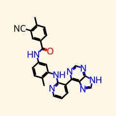 Cc1ccc(C(=O)Nc2ccc(C)c(Nc3ncccc3-c3ncnc4[nH]cnc34)c2)cc1C#N